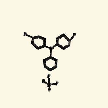 F[B-](F)(F)F.Fc1ccc([S+](c2ccccc2)c2ccc(F)cc2)cc1